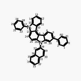 c1ccc(-c2ccc3c4c5c6ccccc6n(-c6ccccc6)c5ccc4n(-c4ccc5ccccc5c4)c3c2)cc1